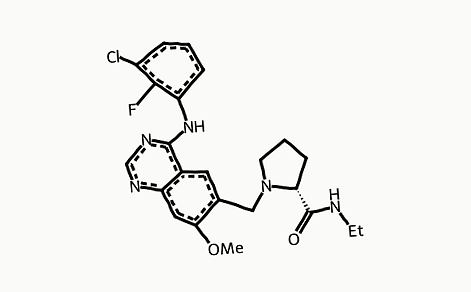 CCNC(=O)[C@H]1CCCN1Cc1cc2c(Nc3cccc(Cl)c3F)ncnc2cc1OC